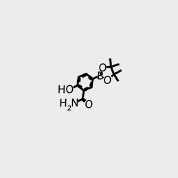 CC1(C)OB(c2ccc(O)c(C(N)=O)c2)OC1(C)C